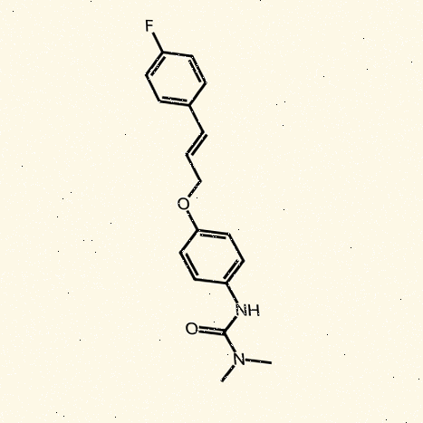 CN(C)C(=O)Nc1ccc(OC/C=C/c2ccc(F)cc2)cc1